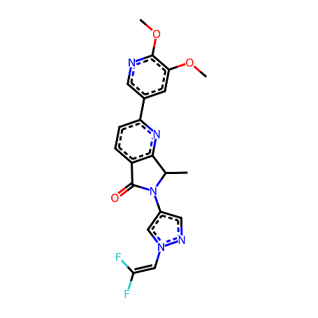 COc1cc(-c2ccc3c(n2)C(C)N(c2cnn(C=C(F)F)c2)C3=O)cnc1OC